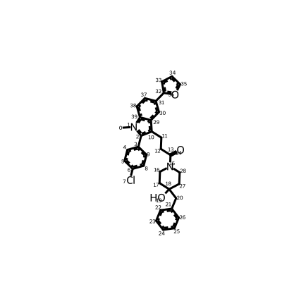 Cn1c(-c2ccc(Cl)cc2)c(CCC(=O)N2CCC(O)(Cc3ccccc3)CC2)c2cc(-c3ccco3)ccc21